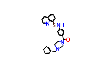 O=C(c1ccc(NSc2cccc3cccnc23)cc1)N1CCN(CC2=CCCC=C2)CC1